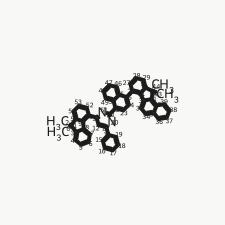 CC1(C)c2ccccc2-c2c(-c3cc(-c4ccccc4)nc(-c4ccc(-c5cccc6c5-c5ccc7ccccc7c5C6(C)C)c5ccccc45)n3)cccc21